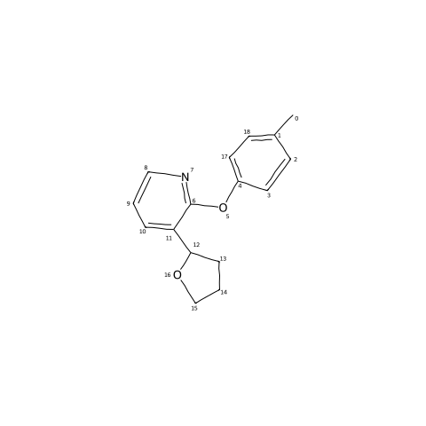 Cc1ccc(Oc2ncccc2C2CCCO2)cc1